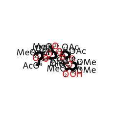 COC(=O)C1O[C@@H](O[C@H]2C(OC(C)=O)C(OC(C)=O)[C@@H](O[C@H]3C(OC)C(OC)[C@@H](O[C@@H]4C(COC(C)=O)O[C@H](OC)C(OC(C)=O)[C@H]4C)O[C@H]3C(=O)OC)O[C@H]2COC(C)=O)C(OC)[C@@H](OC)[C@@H]1O